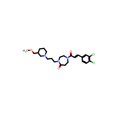 COCC1CCCN(CCCN2CCN(C(=O)/C=C/c3ccc(Cl)c(Cl)c3)CCC2=O)C1